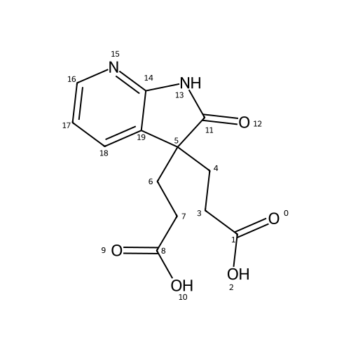 O=C(O)CCC1(CCC(=O)O)C(=O)Nc2ncccc21